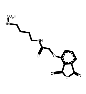 O=C(O)NCCCCNC(=O)COc1cccc2c1C(=O)OC2=O